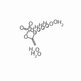 C=C1OS(=O)(=O)O1.O.O.O.O.O.O.O